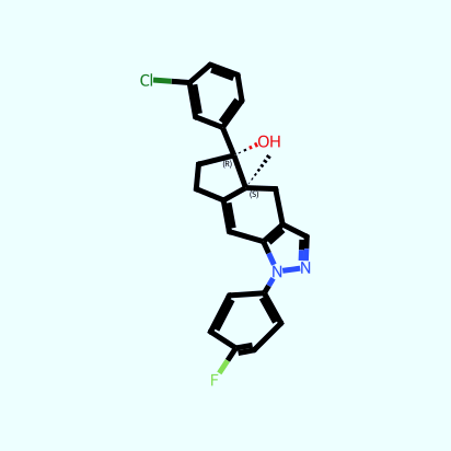 C[C@]12Cc3cnn(-c4ccc(F)cc4)c3C=C1CC[C@@]2(O)c1cccc(Cl)c1